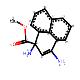 CC(C)(C)OC(=O)C1(N)C=C(N)c2cccc3cccc1c23